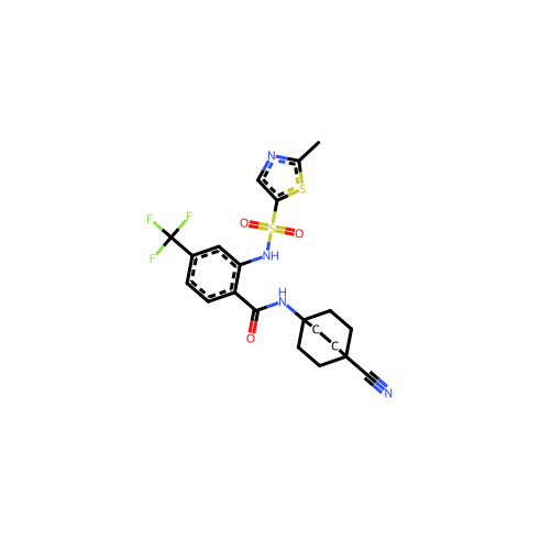 Cc1ncc(S(=O)(=O)Nc2cc(C(F)(F)F)ccc2C(=O)NC23CCC(C#N)(CC2)CC3)s1